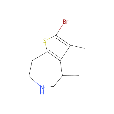 Cc1c(Br)sc2c1C(C)CNCC2